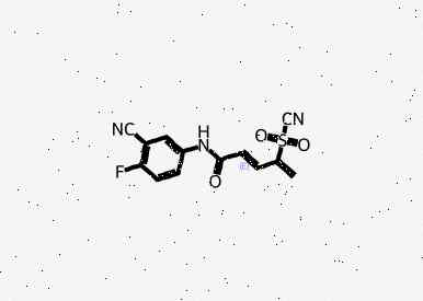 C=C(/C=C/C(=O)Nc1ccc(F)c(C#N)c1)S(=O)(=O)C#N